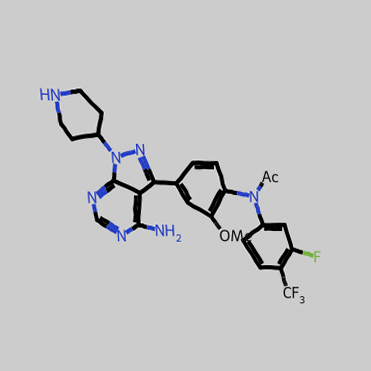 COc1cc(-c2nn(C3CCNCC3)c3ncnc(N)c23)ccc1N(C(C)=O)c1ccc(C(F)(F)F)c(F)c1